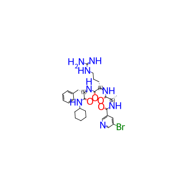 C[C@H](NC(=O)c1cncc(Br)c1)C(=O)N[C@@H](CCCNC(=N)N)C(=O)N[C@@H](Cc1ccccc1)C(=O)NC1CCCCC1